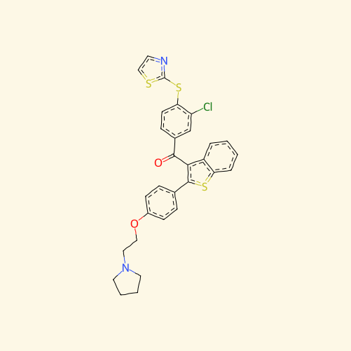 O=C(c1ccc(Sc2nccs2)c(Cl)c1)c1c(-c2ccc(OCCN3CCCC3)cc2)sc2ccccc12